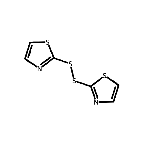 c1csc(SSc2nccs2)n1